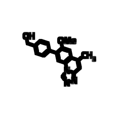 COc1cc2c(C)cc3nncn3c2cc1-c1ccc(CO)cc1